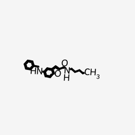 CCCCCNC(=O)c1cc2cc(NCc3ccccc3)ccc2o1